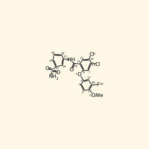 COc1ccc(Oc2cc(Cl)c(Cl)cc2C(=O)Nc2cccc(S(N)(=O)=O)c2)cc1F